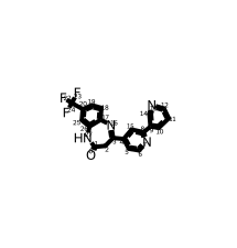 O=C1CC(c2ccnc(-c3cccnc3)c2)=Nc2ccc(C(F)(F)F)cc2N1